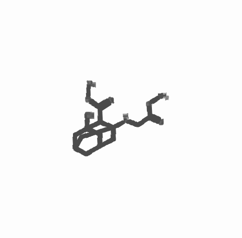 CC(C)(C)OC(=O)C1C2(O)CC3CC(C2)CC1(NCC(=O)ON)C3